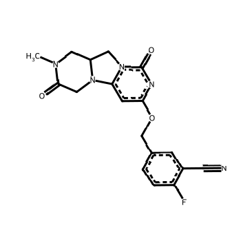 CN1CC2Cn3c(cc(OCc4ccc(F)c(C#N)c4)nc3=O)N2CC1=O